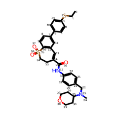 CCSc1ccc(-c2ccc3c(c2)C=C(C(=O)Nc2ccc(CN(C)C4CCOCC4)cc2)CCS3(=O)=O)cc1